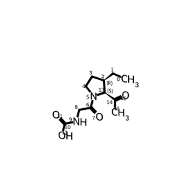 CC[C@@H]1CCN(C(=O)CNC(=O)O)[C@@H]1C(C)=O